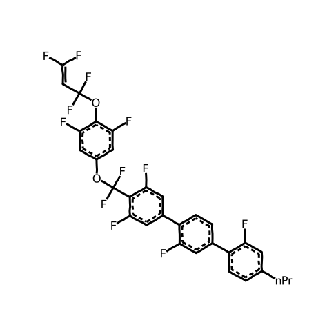 CCCc1ccc(-c2ccc(-c3cc(F)c(C(F)(F)Oc4cc(F)c(OC(F)(F)C=C(F)F)c(F)c4)c(F)c3)c(F)c2)c(F)c1